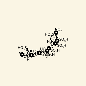 Cc1ccc(OSNc2cc(C)c(N=Nc3cc(S(=O)(=O)O)c(N=Nc4c(S(=O)(=O)O)cc5c(S(=O)(=O)O)c(N=Nc6cc(S(=O)(=O)O)c7cc(S(=O)(=O)O)c(N=Nc8ccc([N+](=O)[O-])cc8S(=O)(=O)O)c(O)c7c6N)ccc5c4O)cc3S(=O)(=O)O)cc2OCCCS(=O)(=O)O)cc1